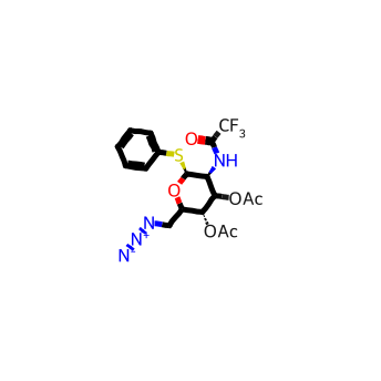 CC(=O)OC1[C@H](OC(C)=O)C(CN=[N+]=[N-])O[C@@H](Sc2ccccc2)[C@H]1NC(=O)C(F)(F)F